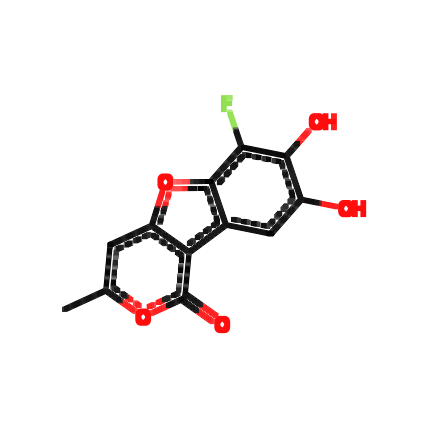 Cc1cc2oc3c(F)c(O)c(O)cc3c2c(=O)o1